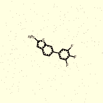 CCCc1cc2ccc(-c3cc(F)c(F)c(F)c3)cc2s1